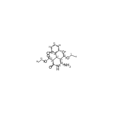 CCOC(=O)C1=C(N)NC(=O)C(C(=O)OCC)C1c1ccccc1Cl